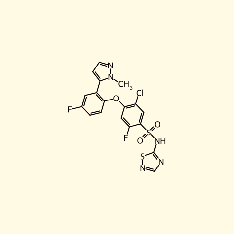 Cn1nccc1-c1cc(F)ccc1Oc1cc(F)c(S(=O)(=O)Nc2ncns2)cc1Cl